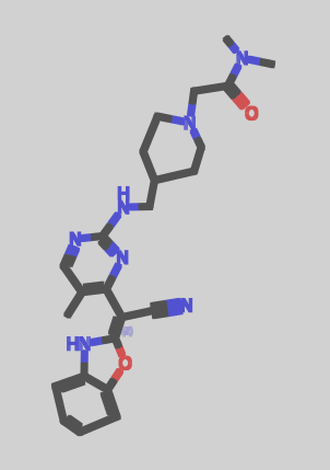 Cc1cnc(NCC2CCN(CC(=O)N(C)C)CC2)nc1/C(C#N)=C1\Nc2ccccc2O1